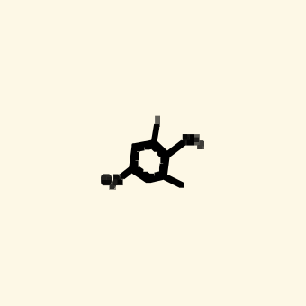 Cc1cc([N+](=O)[O-])cc(I)c1N